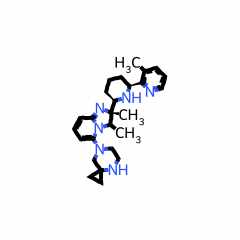 Cc1cccnc1[C@@H]1CCC[C@H]([C@@]2(C)N=C3C=CC=C(N4CCNC5(CC5)C4)N3C2C)N1